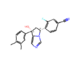 Cc1ccc([C@@]2(O)C[C@H](c3ccc(C#N)cc3F)n3cncc32)cc1C